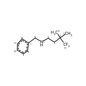 CC(C)(CCNCc1ccccc1)C(F)(F)F